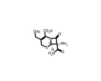 CC(=O)OCC1=C(C(=O)O)N2C(=O)[C@@](N)(C(N)=O)[C@H]2SC1